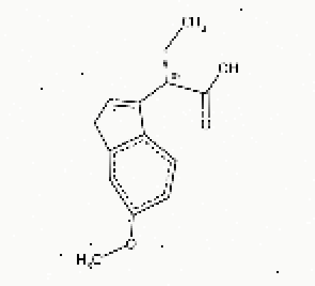 CC[C@H](C(=O)O)C1=CCc2cc(OC)ccc21